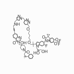 C[C@H](CC(=O)N1CCC(O)(Cn2cnc3cc(C#CCNCc4cnn(Cc5ccc(COCCCCCOCC(C)(C)c6cc7cc(NC(=O)C8(c9ccc%10c(c9)OC(F)(F)O%10)CC8)c(F)cc7n6C[C@@H](O)CO)nn5)c4)ccc3c2=O)CC1)c1ccccc1